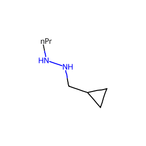 CCCNNCC1CC1